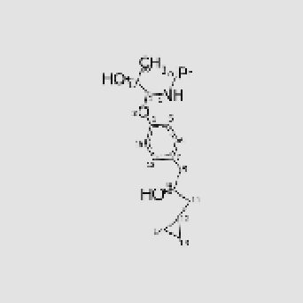 CC(C)NC(Oc1ccc(CC(O)CC2CC2)cc1)C(C)O